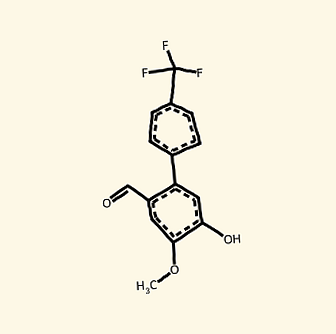 COc1cc(C=O)c(-c2ccc(C(F)(F)F)cc2)cc1O